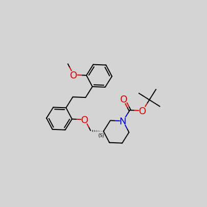 COc1ccccc1CCc1ccccc1OC[C@H]1CCCN(C(=O)OC(C)(C)C)C1